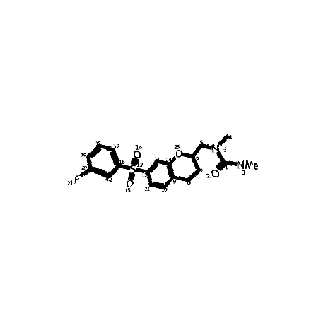 CNC(=O)N(C)CC1CCc2ccc(S(=O)(=O)c3cccc(F)c3)cc2O1